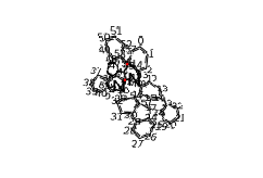 c1ccc(N(c2ccccc2)c2ccc3c(c2)C2(c4ccccc4-3)c3ccccc3-c3ccc(N(c4ccccc4)c4cccc5c4oc4ccccc45)cc32)cc1